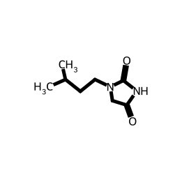 CC(C)CCN1CC(=O)NC1=O